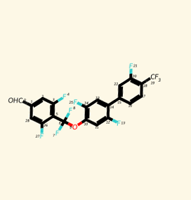 O=Cc1cc(F)c(C(F)(F)Oc2cc(F)c(-c3ccc(C(F)(F)F)c(F)c3)cc2F)c(F)c1